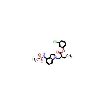 CCC(Cn1ccc2c(NS(C)(=O)=O)cccc21)C(=O)Oc1cccc(Cl)c1